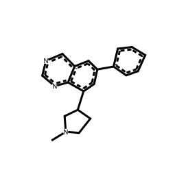 CN1CCC(c2cc(-c3ccccc3)cc3cncnc23)C1